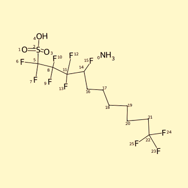 N.O=S(=O)(O)C(F)(F)C(F)(F)C(F)(F)C(F)CCCCCCC(F)(F)F